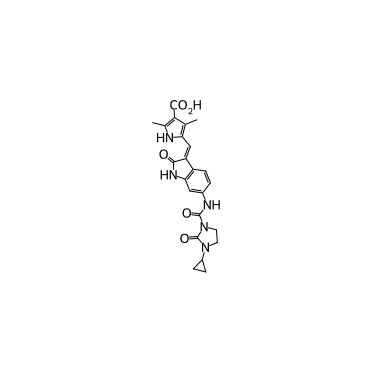 Cc1[nH]c(C=C2C(=O)Nc3cc(NC(=O)N4CCN(C5CC5)C4=O)ccc32)c(C)c1C(=O)O